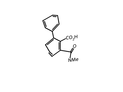 CNC(=O)c1cccc(-c2ccccc2)c1C(=O)O